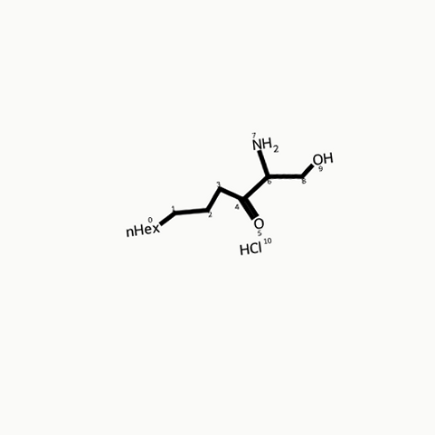 CCCCCCCCCC(=O)C(N)CO.Cl